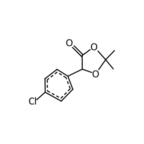 CC1(C)OC(=O)C(c2ccc(Cl)cc2)O1